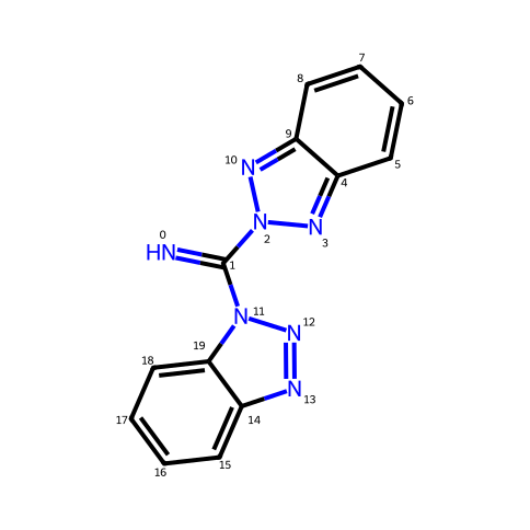 N=C(n1nc2ccccc2n1)n1nnc2ccccc21